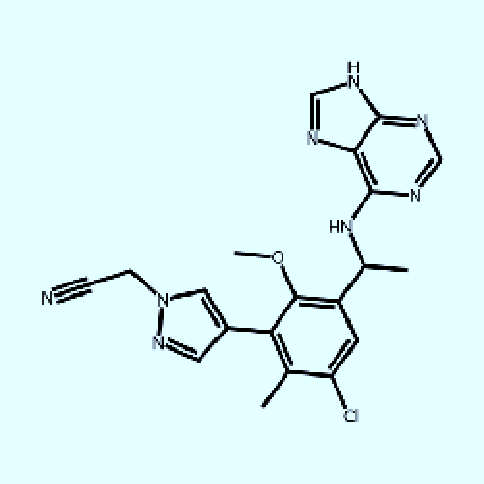 COc1c(C(C)Nc2ncnc3[nH]cnc23)cc(Cl)c(C)c1-c1cnn(CC#N)c1